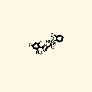 Cn1cc(C(=O)NS(=O)(=O)c2ccccc2Cl)nc1-c1c(F)cc(F)cc1F